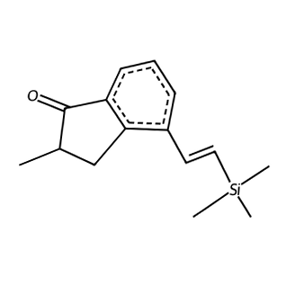 CC1Cc2c(/C=C/[Si](C)(C)C)cccc2C1=O